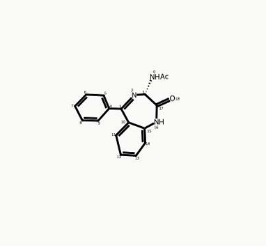 CC(=O)N[C@H]1N=C(c2ccccc2)c2ccccc2NC1=O